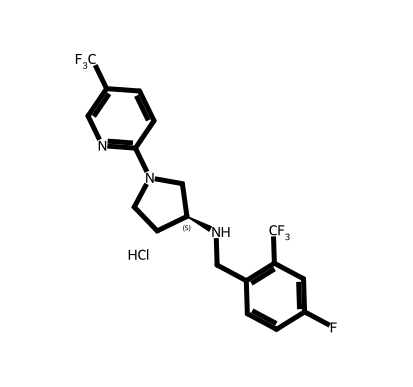 Cl.Fc1ccc(CN[C@H]2CCN(c3ccc(C(F)(F)F)cn3)C2)c(C(F)(F)F)c1